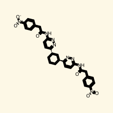 O=C(Cc1ccc([N+](=O)[O-])cc1)Nc1ccc([C@H]2CCC[C@H](c3ccc(NC(=O)Cc4ccc([N+](=O)[O-])cc4)nn3)C2)nn1